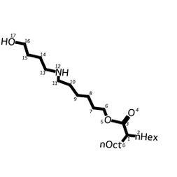 CCCCCCCCC(CCCCCC)C(=O)OCCCCCCNCCCCO